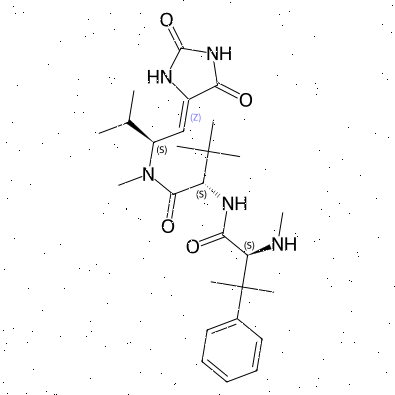 CN[C@H](C(=O)N[C@H](C(=O)N(C)[C@H](/C=C1\NC(=O)NC1=O)C(C)C)C(C)(C)C)C(C)(C)c1ccccc1